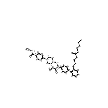 C=C(CCCCC)CCCOc1ccccc1-c1ccc([C@H](CN2CCN(c3ncc(C(=O)NO)cn3)CC2)C(=O)C=O)cc1